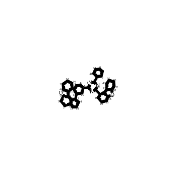 c1ccc(-c2nc(-c3cccc(-c4cccc5ccc6oc7ccccc7c6c45)c3)nc(-c3cccc4oc5ccccc5c34)n2)cc1